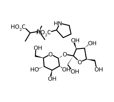 CC(C(=O)O)N(C)C.O=C(O)C1CCCN1.OC[C@H]1O[C@@](CO)(O[C@H]2O[C@H](CO)[C@@H](O)[C@H](O)[C@H]2O)[C@@H](O)[C@@H]1O